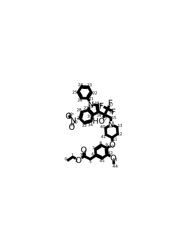 CCOC(=O)Cc1ccc(OC2CCN(CC(O)(c3cn(-c4ccccc4)c4cc([N+](=O)[O-])ccc34)C(F)(F)F)CC2)c(OC)c1